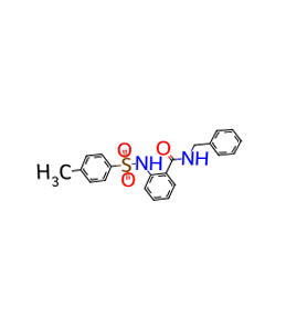 Cc1ccc(S(=O)(=O)Nc2ccccc2C(=O)NCc2ccccc2)cc1